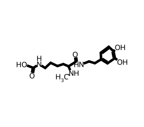 CNC(CCCCNC(=O)O)C(=O)NCCc1ccc(O)c(O)c1